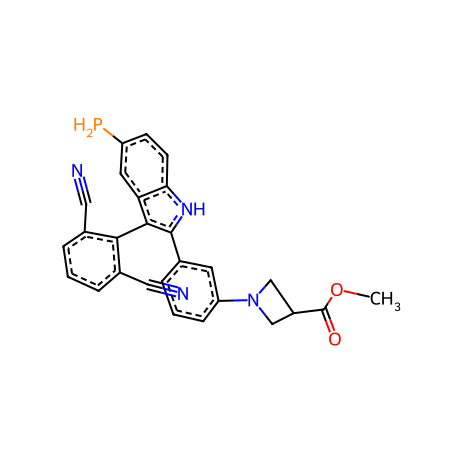 COC(=O)C1CN(c2cccc(-c3[nH]c4ccc(P)cc4c3-c3c(C#N)cccc3C#N)c2)C1